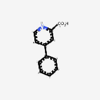 O=C(O)c1cc(-c2ccccc2)ccn1